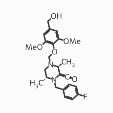 COc1cc(CO)cc(OC)c1OCN1C[C@@H](C)N(Cc2ccc(F)cc2)C(=C=O)[C@@H]1C